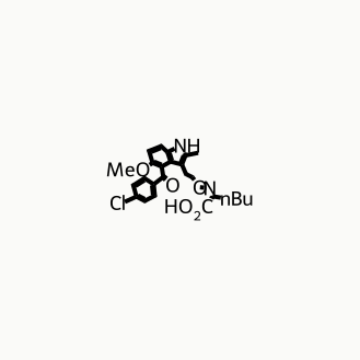 CCCCC(=NOCCc1c(C)[nH]c2ccc(OC)c(C(=O)c3ccc(Cl)cc3)c12)C(=O)O